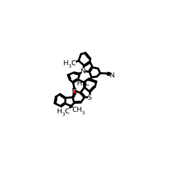 CC1CC=Cc2c3c(n(-c4cccc(C#N)c4-c4cccc5sc6cc7c(cc6c45)-c4ccccc4C7(C)C)c21)C(C)CC(C#N)C3